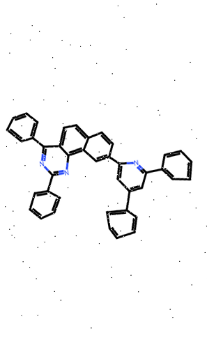 c1ccc(-c2cc(-c3ccccc3)nc(-c3ccc4ccc5c(-c6ccccc6)nc(-c6ccccc6)nc5c4c3)c2)cc1